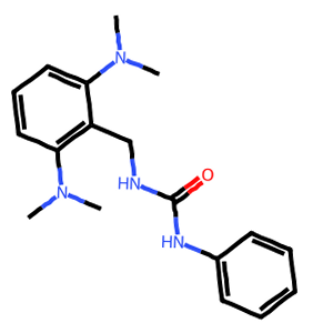 CN(C)c1cccc(N(C)C)c1CNC(=O)Nc1ccccc1